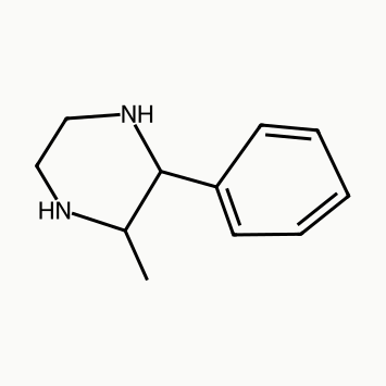 CC1NCCNC1c1ccccc1